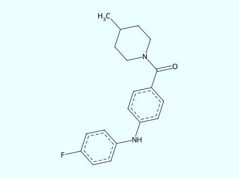 CC1CCN(C(=O)c2ccc(Nc3ccc(F)cc3)cc2)CC1